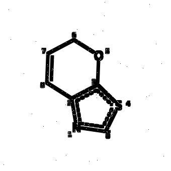 [c]1nc2c(s1)OCC=C2